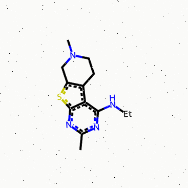 CCNc1nc(C)nc2sc3c(c12)CCN(C)C3